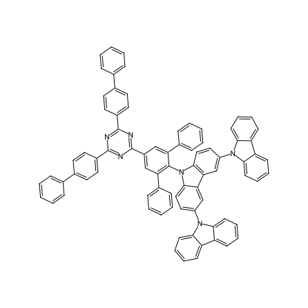 c1ccc(-c2ccc(-c3nc(-c4ccc(-c5ccccc5)cc4)nc(-c4cc(-c5ccccc5)c(-n5c6ccc(-n7c8ccccc8c8ccccc87)cc6c6cc(-n7c8ccccc8c8ccccc87)ccc65)c(-c5ccccc5)c4)n3)cc2)cc1